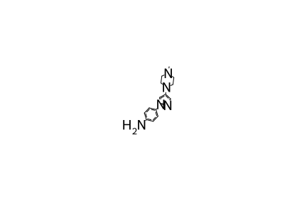 CN1CCN(c2cnn(-c3ccc(N)cc3)c2)CC1